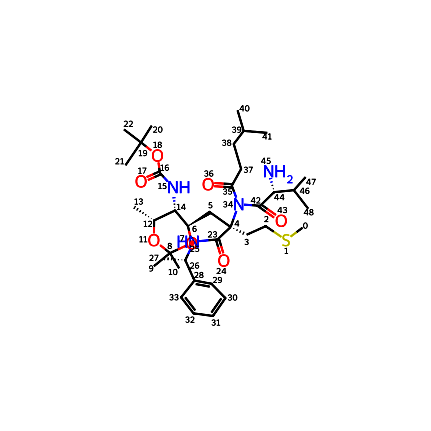 CSCC[C@@](C[C@H]1OC(C)(C)O[C@H](C)[C@@H]1NC(=O)OC(C)(C)C)(C(=O)N[C@@H](C)c1ccccc1)N(C(=O)CCC(C)C)C(=O)[C@H](N)C(C)C